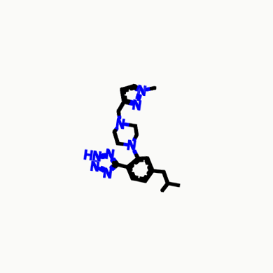 CC(C)Cc1ccc(-c2nn[nH]n2)c(N2CCN(Cc3ccn(C)n3)CC2)c1